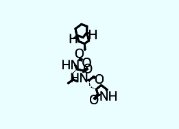 CC(C)C[C@H](NC(=O)OCC1C[C@H]2CCC[C@@H](C1)C2)C(=O)N[C@H](C=O)C[C@@H]1CCNC1=O